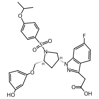 CC(C)Oc1ccc(S(=O)(=O)N2C[C@H](n3nc(CC(=O)O)c4ccc(F)cc43)C[C@@H]2COc2cccc(O)c2)cc1